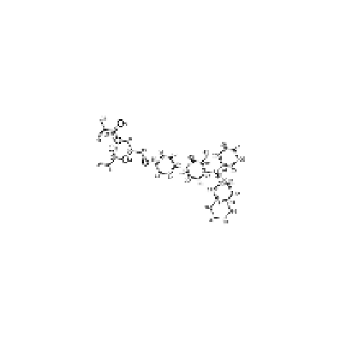 C=CC(=O)OC(COC(=O)C(=C)C)COc1ccc(-c2ccc(N(c3ccccc3)c3ccc4c(c3)CCCC4)c(C)c2)cc1